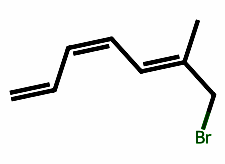 C=C/C=C\C=C(/C)CBr